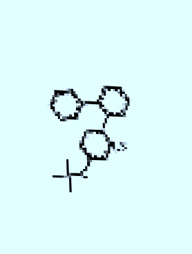 CC(C)(C)Oc1ccc(-c2ccccc2-c2ccccc2)cc1.S